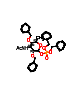 CC(=O)N[C@H]1[C@H](OCc2ccccc2)[C@@H](C)OC(OP(=O)(OCc2ccccc2)OCc2ccccc2)[C@@H]1OCc1ccccc1